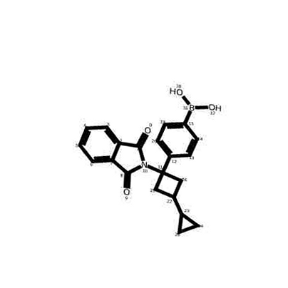 O=C1c2ccccc2C(=O)N1C1(c2ccc(B(O)O)cc2)CC(C2CC2)C1